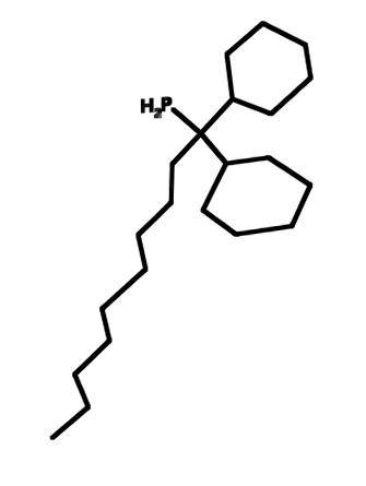 CCCCCCCCCC(P)(C1CCCCC1)C1CCCCC1